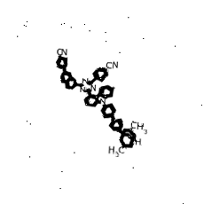 C[C@@H]1C[C@@H]2C[C@H](C)CC(c3ccc(-c4ccc(-n5c6ccccc6c6c(-c7nc(-c8ccc(C#N)cc8)nc(-c8ccc9ccc(-c%10ccc(C#N)cc%10)cc9c8)n7)cccc65)cc4)cc3)(C1)C2